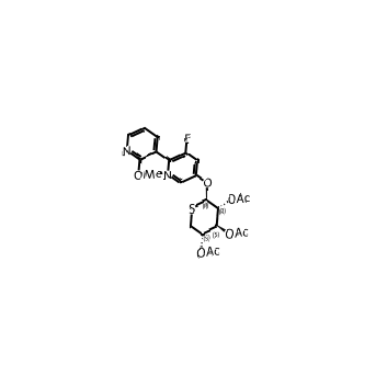 COc1ncccc1-c1ncc(O[C@@H]2SC[C@@H](OC(C)=O)[C@H](OC(C)=O)[C@H]2OC(C)=O)cc1F